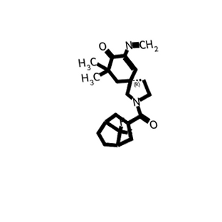 C=NC1=C[C@]2(CCN(C(=O)C3CC4CCC(C3)C4(F)F)C2)CC(C)(C)C1=O